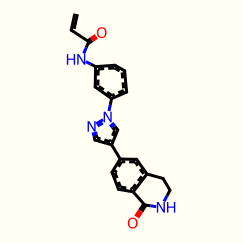 C=CC(=O)Nc1cccc(-n2cc(-c3ccc4c(c3)CCNC4=O)cn2)c1